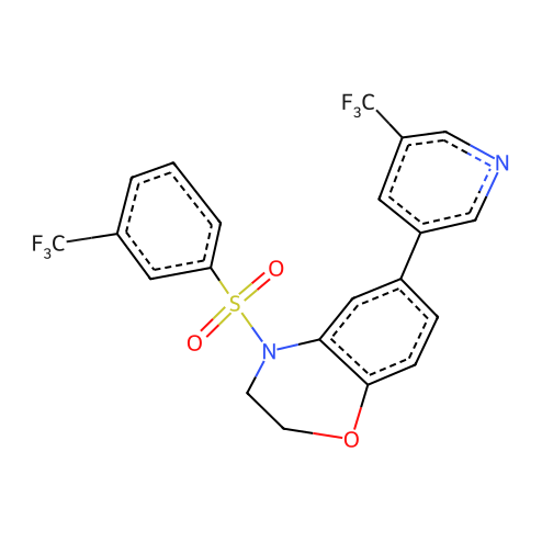 O=S(=O)(c1cccc(C(F)(F)F)c1)N1CCOc2ccc(-c3cncc(C(F)(F)F)c3)cc21